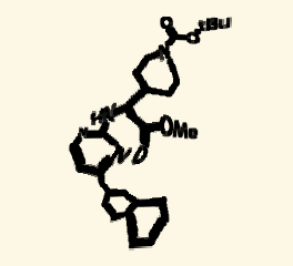 COC(=O)C(Nc1nccc(-c2ccc3ccccc3c2)n1)C1CCN(C(=O)OC(C)(C)C)CC1